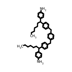 CCCCCCC(c1ccc(N)cc1)c1ccc(Cc2ccc(Cc3ccc(C(CCCCCC)c4ccc(N)cc4)cc3)cc2)cc1